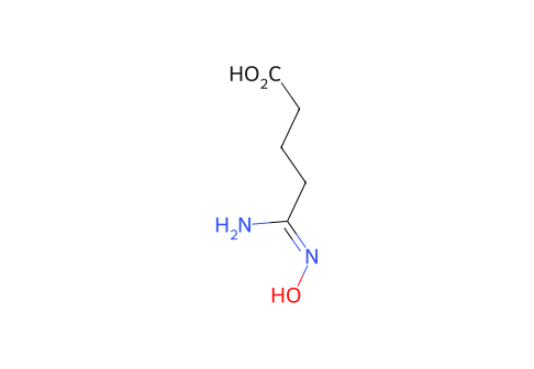 N/C(CCCC(=O)O)=N\O